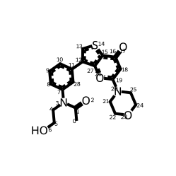 CC(=O)N(CCO)c1cccc(-c2csc3c(=O)cc(N4CCOCC4)oc23)c1